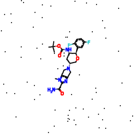 Cn1c(C(N)=O)nc2c1CN([C@H]1CO[C@H](c3cc(F)ccc3F)[C@@H](NC(=O)OC(C)(C)C)C1)C2